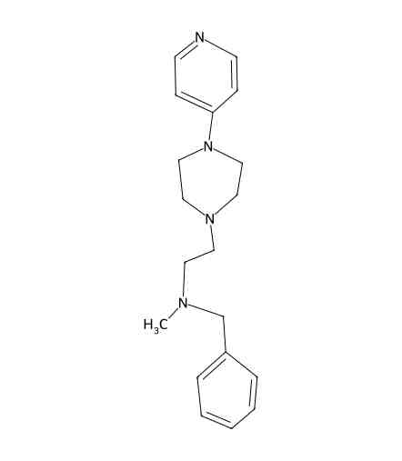 CN(CCN1CCN(c2ccncc2)CC1)Cc1ccccc1